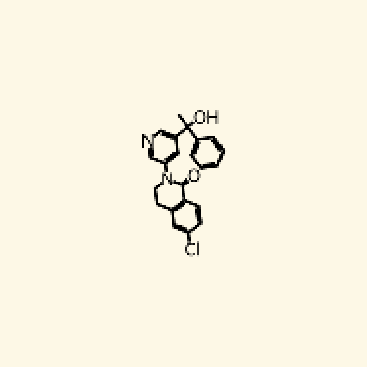 CC(O)(c1ccccc1)c1cncc(N2CCc3cc(Cl)ccc3C2=O)c1